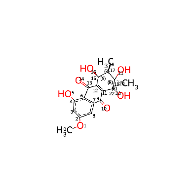 COc1cc(O)c2c(c1)C(=O)C1=C(C2=O)[C@@H](O)[C@@H](C)[C@@](C)(O)[C@@H]1O